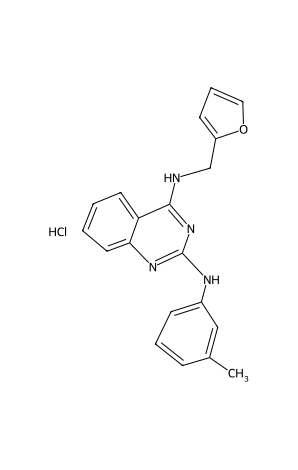 Cc1cccc(Nc2nc(NCc3ccco3)c3ccccc3n2)c1.Cl